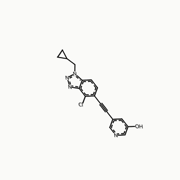 Oc1cncc(C#Cc2ccc3c(nnn3CC3CC3)c2Cl)c1